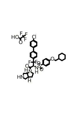 O=C(O)C(F)(F)F.O=C([C@H](NS(=O)(=O)c1ccc(OCC2CCCCC2)cc1)C(F)(F)c1ccc(-c2ccc(Cl)cc2)cc1)N1CC[C@@H]2CNC[C@@H]21